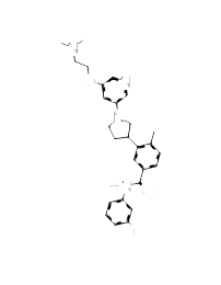 Cc1ccc(C(=O)Nc2cccc(C(F)(F)F)c2)cc1C1CCN(c2cncc(OCCN(C)C)c2)C1